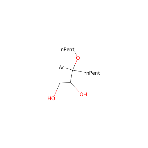 CCCCCOC(CCCCC)(C(C)=O)C(O)CO